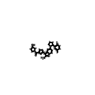 Nc1nn2ccc(N3CCCC3c3cc(F)ccc3F)nc2c1-c1nc(C(=O)N2CCC(O)C2)cs1